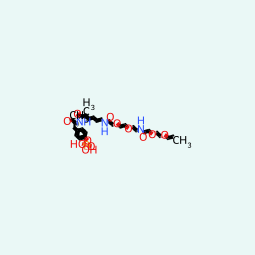 CCCOCCOCC(=O)NCCOCCOCC(=O)NCCCC[C@H](C)C(=O)N[C@@H](Cc1ccc(OP(=O)(O)O)cc1)C(C)=O